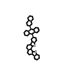 c1ccc2cc(-c3c4ccccc4c(-c4ccc5sc6c(ccc7ccc8c9ccccc9sc8c76)c5c4)c4ccccc34)ccc2c1